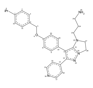 CC(C)c1ccc(COc2ccc(-c3c(-c4ccncc4)nn4c3N(CCCN)CC4)cc2)cc1